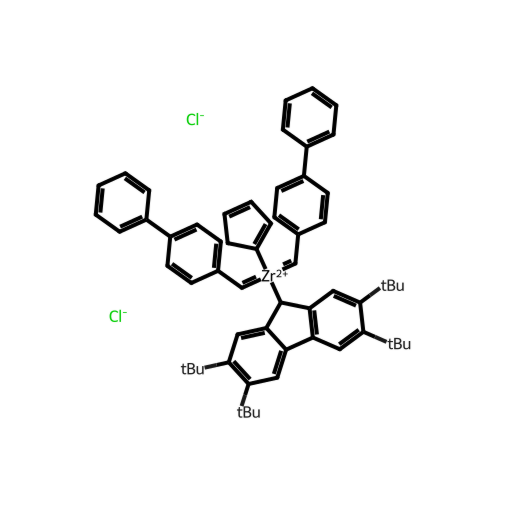 CC(C)(C)c1cc2c(cc1C(C)(C)C)[CH]([Zr+2](=[CH]c1ccc(-c3ccccc3)cc1)(=[CH]c1ccc(-c3ccccc3)cc1)[C]1=CC=CC1)c1cc(C(C)(C)C)c(C(C)(C)C)cc1-2.[Cl-].[Cl-]